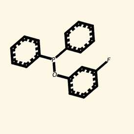 Fc1cccc(OP(c2ccccc2)c2ccccc2)c1